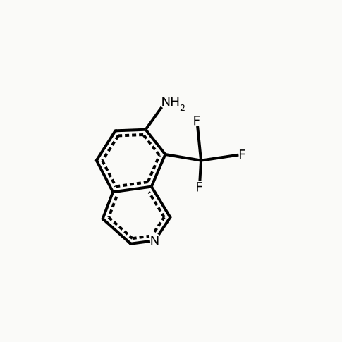 Nc1ccc2ccncc2c1C(F)(F)F